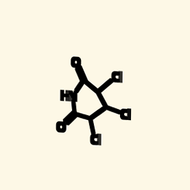 O=C1NC(=O)C(Cl)C(Cl)C1Cl